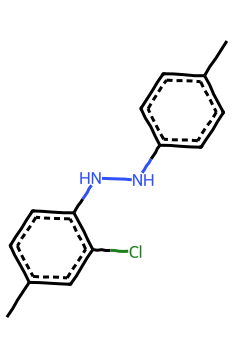 Cc1ccc(NNc2ccc(C)cc2Cl)cc1